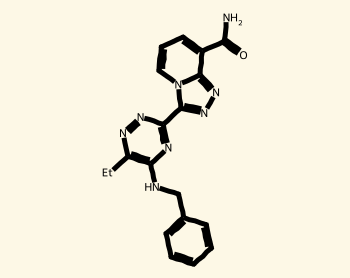 CCc1nnc(-c2nnc3c(C(N)=O)cccn23)nc1NCc1ccccc1